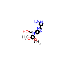 COc1cc(OC)cc(N(CCCO)c2ccc3ncc(-c4ccnc(N)c4)nc3c2)c1